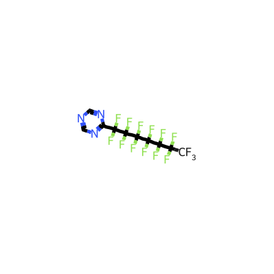 FC(F)(F)C(F)(F)C(F)(F)C(F)(F)C(F)(F)C(F)(F)C(F)(F)c1ncncn1